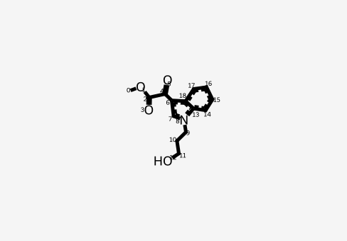 COC(=O)C(=O)c1cn(CCCO)c2ccccc12